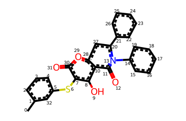 Cc1cccc(Sc2c(O)c3c(=O)n(-c4ccccc4)c(-c4ccccc4)cc3oc2=O)c1